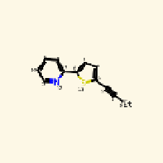 CCC#Cc1ccc(-c2ccccn2)s1